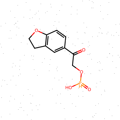 O=C(CO[PH](=O)O)c1ccc2c(c1)CCO2